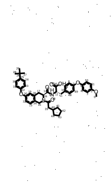 COc1ccc(Oc2ccc(C[C@H](NC(=O)[C@@H]3Cc4cc(Oc5ccc(C(C)(C)C)cc5)ccc4CN3C(=O)CC3CCCC3)C(=O)O)cc2)cc1